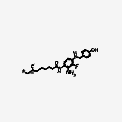 Nc1c(NC(=O)CCCCC[C@H](F)CF)ccc(NCc2ccc(O)cc2)c1F